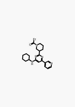 CCC(=O)N1CCCC(c2nc(NC3CCCCC3)cc(-c3cccnc3)n2)C1